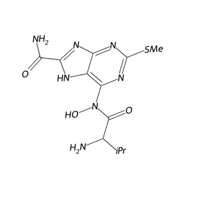 CSc1nc(N(O)C(=O)C(N)C(C)C)c2[nH]c(C(N)=O)nc2n1